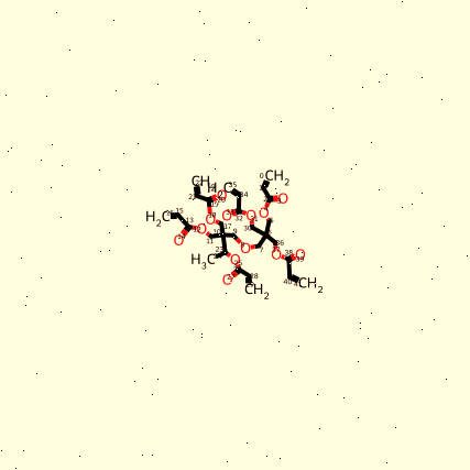 C=CC(=O)OCC(COCC(COC(=O)C=C)(COC(=O)C=C)C(C)OC(=O)C=C)(COC(=O)C=C)COC(=O)C=C